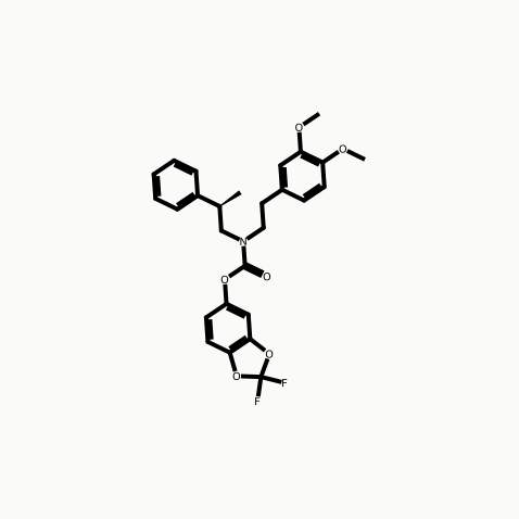 COc1ccc(CCN(C[C@H](C)c2ccccc2)C(=O)Oc2ccc3c(c2)OC(F)(F)O3)cc1OC